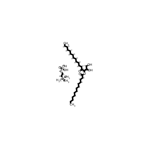 CCCCCCCCCCCCCC(=O)OC(C(=O)CCCCCCCCCCCCC)C(O)CO.C[N+](C)(C)CCOP(=O)(O)O